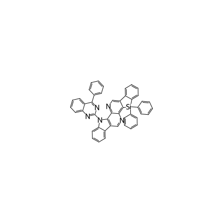 c1ccc(-c2nc(-n3c4ccccc4c4cnc5c6c(cnc5c43)-c3ccccc3[Si]6(c3ccccc3)c3ccccc3)nc3ccccc23)cc1